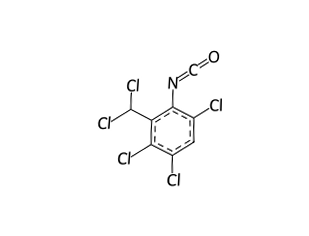 O=C=Nc1c(Cl)cc(Cl)c(Cl)c1C(Cl)Cl